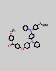 CCCCC(C)c1ccc(N(c2ccccc2)c2ccc(N(C3=CCC(Oc4ccc(C(=O)c5ccc(OCC)cc5)cc4)C=C3)c3ccccc3)cc2)cc1